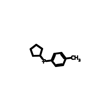 Cc1ccc([P]C2CCCC2)cc1